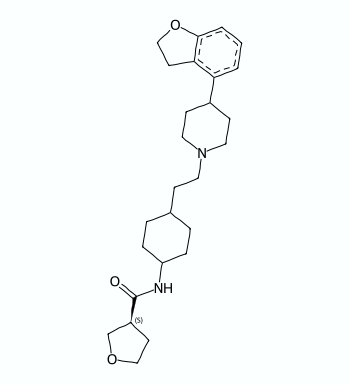 O=C(NC1CCC(CCN2CCC(c3cccc4c3CCO4)CC2)CC1)[C@H]1CCOC1